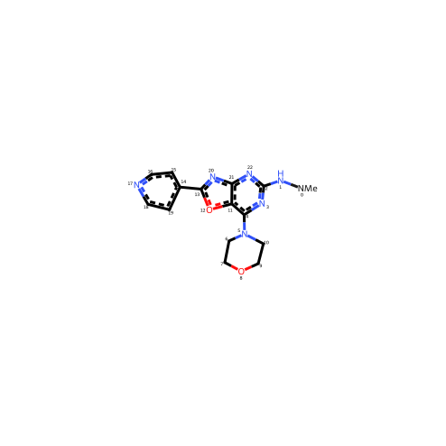 CNNc1nc(N2CCOCC2)c2oc(-c3ccncc3)nc2n1